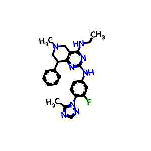 CCNc1nc(Nc2ccc(-n3ncnc3C)c(F)c2)nc2c1CN(C)CC2c1ccccc1